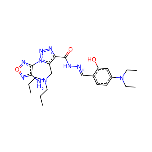 CCCN(CCC)Cc1c(C(=O)N/N=C/c2ccc(N(CC)CC)cc2O)nnn1-c1nonc1N